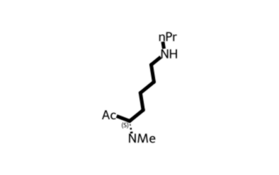 CCCNCCCC[C@H](NC)C(C)=O